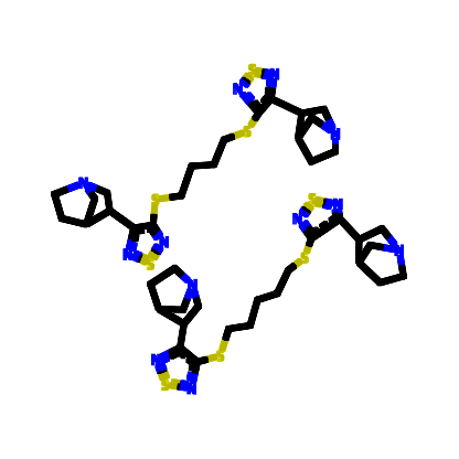 C(CCSc1nsnc1C1CN2CCC1C2)CCSc1nsnc1C1CN2CCC1C2.C(CCSc1nsnc1C1CN2CCC1C2)CSc1nsnc1C1CN2CCC1C2